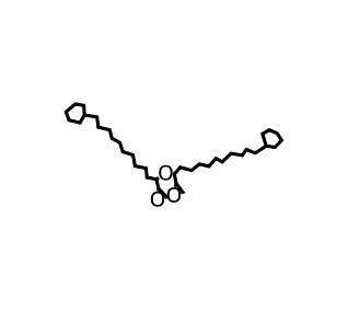 C(CCCCCC(OC(CCCCCCCCCCC1CCCCC1)C1CO1)C1CO1)CCCCC1CCCCC1